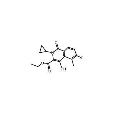 CCOC(=O)c1c(O)c2c(C)c(F)ccc2c(=O)n1C1CC1